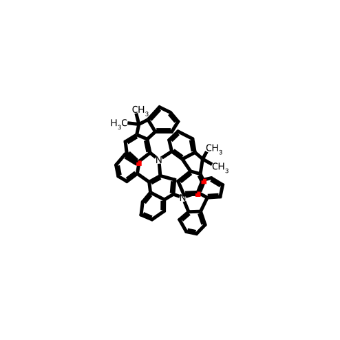 CC1(C)c2ccccc2-c2c(N(c3cccc4c3-c3ccccc3C4(C)C)c3cc(-n4c5ccccc5c5ccccc54)c4ccccc4c3-c3ccccc3)cccc21